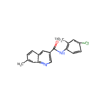 Cc1ccc2cc(C(=O)Nc3ccc(Cl)cc3C(=O)O)cnc2c1